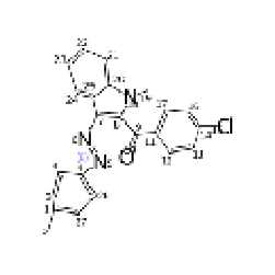 Cc1ccc(/N=N/c2c(C(=O)c3ccc(Cl)cc3)n(C)c3ccccc23)cc1